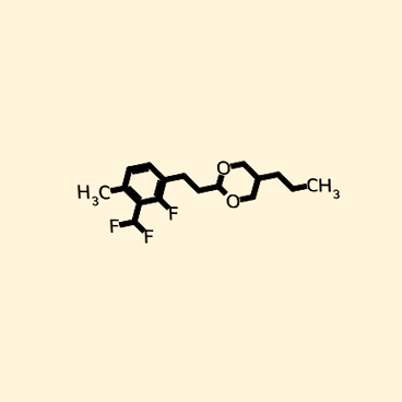 CCCC1COC(CCc2ccc(C)c(C(F)F)c2F)OC1